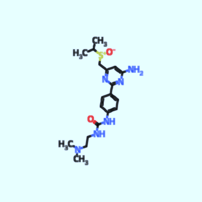 CC(C)[S+]([O-])Cc1cc(N)nc(-c2ccc(NC(=O)NCCN(C)C)cc2)n1